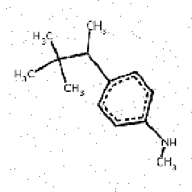 CNc1ccc(C(C)C(C)(C)C)cc1